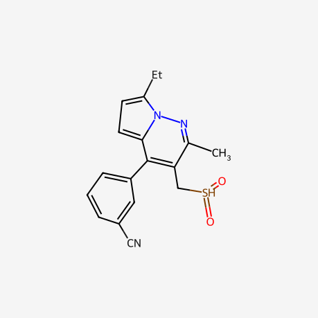 CCc1ccc2c(-c3cccc(C#N)c3)c(C[SH](=O)=O)c(C)nn12